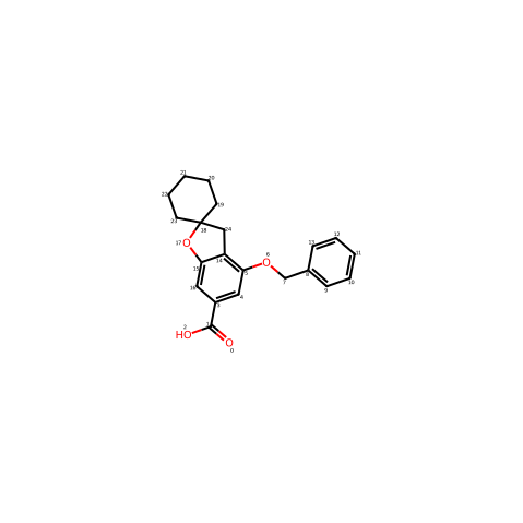 O=C(O)c1cc(OCc2ccccc2)c2c(c1)OC1(CCCCC1)C2